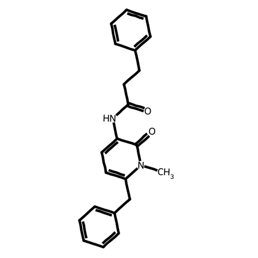 Cn1c(Cc2ccccc2)ccc(NC(=O)CCc2ccccc2)c1=O